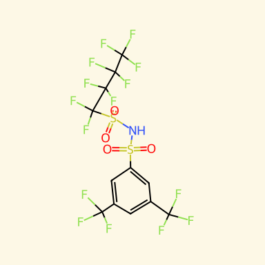 O=S(=O)(NS(=O)(=O)C(F)(F)C(F)(F)C(F)(F)C(F)(F)F)c1cc(C(F)(F)F)cc(C(F)(F)F)c1